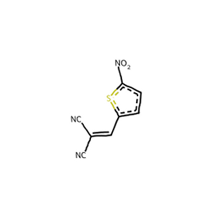 N#CC(C#N)=Cc1ccc([N+](=O)[O-])s1